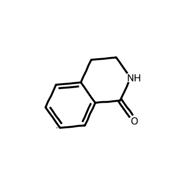 O=C1NCCc2cc[c]cc21